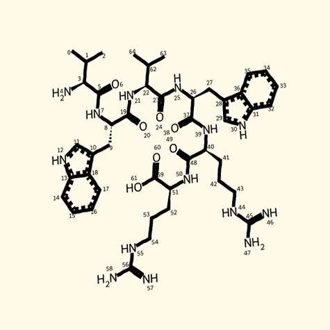 CC(C)[C@H](N)C(=O)N[C@@H](Cc1c[nH]c2ccccc12)C(=O)N[C@H](C(=O)N[C@@H](Cc1c[nH]c2ccccc12)C(=O)N[C@@H](CCCNC(=N)N)C(=O)N[C@@H](CCCNC(=N)N)C(=O)O)C(C)C